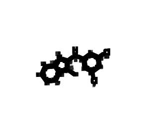 Cn1c(Nc2cc(Cl)cc(Cl)c2)nc2ccccc21